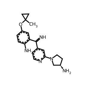 CC1(Oc2ccc(N)c(C(=N)c3ccnc(N4CC[C@@H](N)C4)c3)c2)CC1